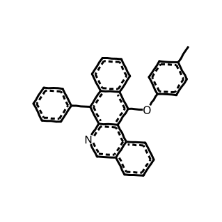 Cc1ccc(Oc2c3ccccc3c(-c3ccccc3)c3ncc4ccccc4c23)cc1